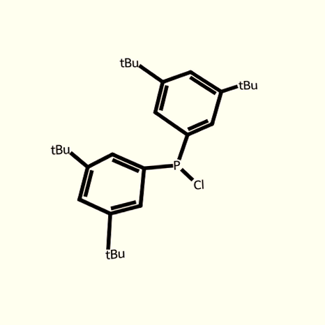 CC(C)(C)c1cc(P(Cl)c2cc(C(C)(C)C)cc(C(C)(C)C)c2)cc(C(C)(C)C)c1